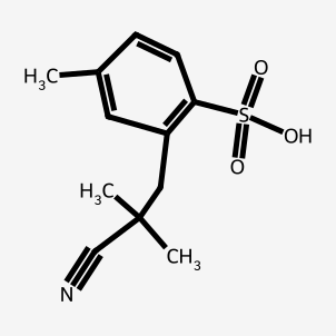 Cc1ccc(S(=O)(=O)O)c(CC(C)(C)C#N)c1